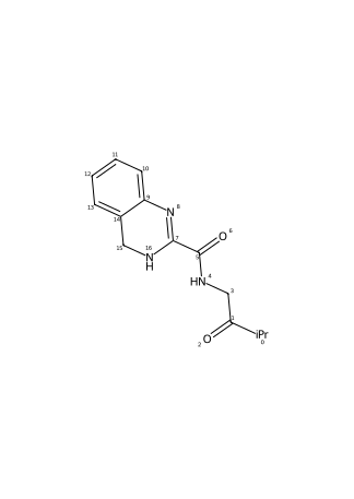 CC(C)C(=O)CNC(=O)C1=Nc2ccccc2CN1